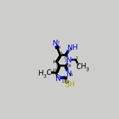 CCn1c(=N)c(C#N)cc2c(C)nc(S)nc21